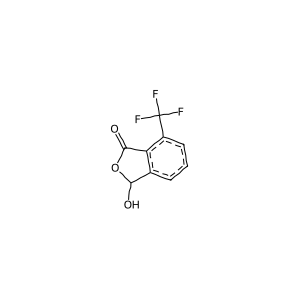 O=C1OC(O)c2cccc(C(F)(F)F)c21